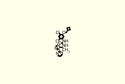 CC(NC(=O)Nc1cc(OCC2CCC2)c(Cl)cc1Cl)c1ncnn1-c1ncccn1